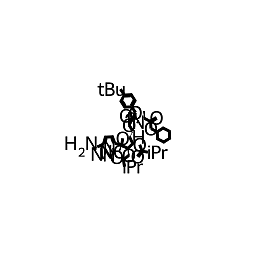 CC(C)C(=O)O[C@H]1[C@@H](OC(=O)C(C)C)[C@](C#N)(c2ccc3c(N)ncnn23)O[C@@H]1COP(=O)(N[C@@H](C)C(=O)OC1CCCCC1)Oc1ccc(C(C)(C)C)cc1